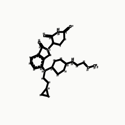 O=C1CCC(N2Cc3c(cccc3N(CCC3CC3)C3CCC(NCCOC(F)(F)F)CC3)C2=O)C(=O)N1